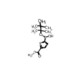 COC(=O)c1ccc(B(O)OC(C)(C)C(C)(C)O)s1